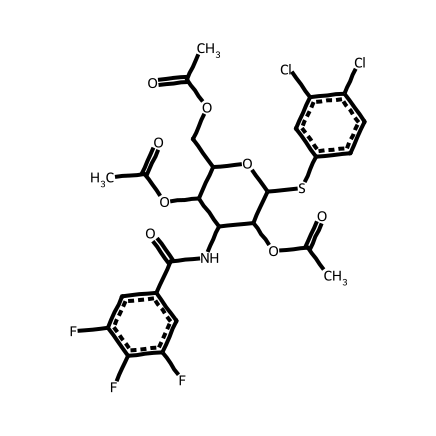 CC(=O)OCC1OC(Sc2ccc(Cl)c(Cl)c2)C(OC(C)=O)C(NC(=O)c2cc(F)c(F)c(F)c2)C1OC(C)=O